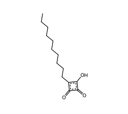 CCCCCCCCCCc1c(O)c(=O)c1=O